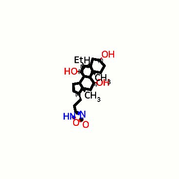 CC[C@H]1[C@@H](O)C2C3CC[C@H](CCc4nc(=O)o[nH]4)[C@@]3(C)C[C@H](O)C2[C@@]2(C)CC[C@@H](O)C[C@@H]12